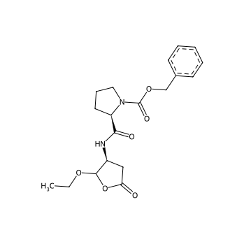 CCOC1OC(=O)C[C@@H]1NC(=O)[C@H]1CCCN1C(=O)OCc1ccccc1